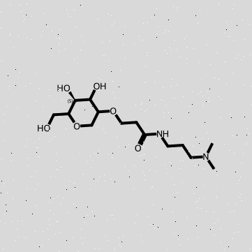 CN(C)CCCNC(=O)CCOC1COC(CO)[C@@H](O)C1O